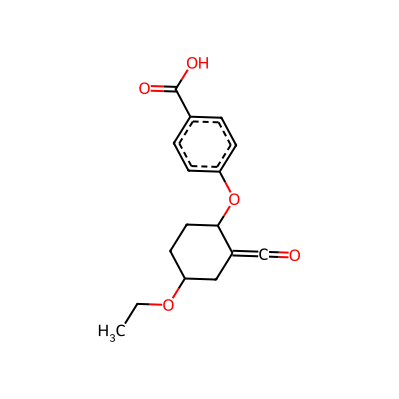 CCOC1CCC(Oc2ccc(C(=O)O)cc2)C(=C=O)C1